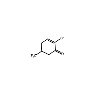 O=C1CC(C(F)(F)F)CC=C1Br